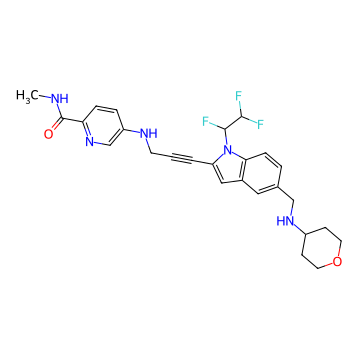 CNC(=O)c1ccc(NCC#Cc2cc3cc(CNC4CCOCC4)ccc3n2C(F)C(F)F)cn1